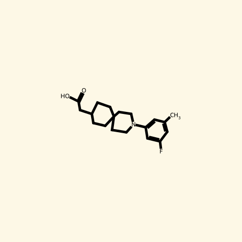 Cc1cc(F)cc(N2CCC3(CCC(CC(=O)O)CC3)CC2)c1